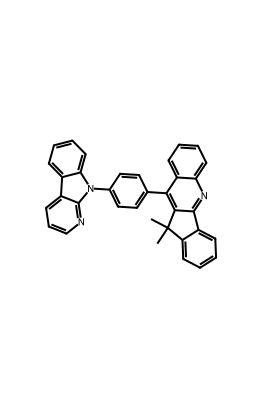 CC1(C)c2ccccc2-c2nc3ccccc3c(-c3ccc(-n4c5ccccc5c5cccnc54)cc3)c21